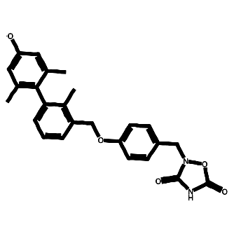 Cc1cc([O])cc(C)c1-c1cccc(COc2ccc(Cn3oc(=O)[nH]c3=O)cc2)c1C